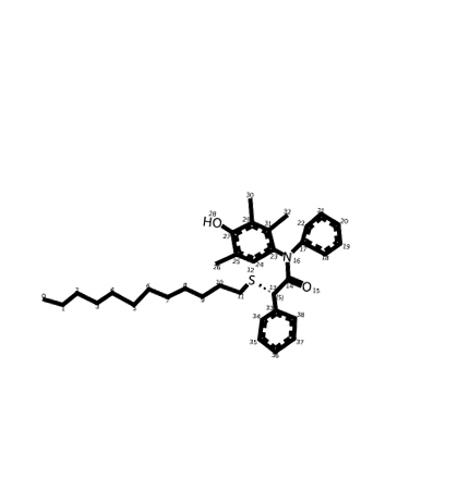 CCCCCCCCCCCCS[C@H](C(=O)N(c1ccccc1)c1cc(C)c(O)c(C)c1C)c1ccccc1